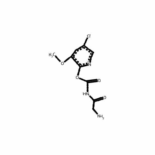 COc1cc(Cl)cnc1OC(=O)NC(=O)CN